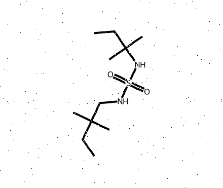 CCC(C)(C)CNS(=O)(=O)NC(C)(C)CC